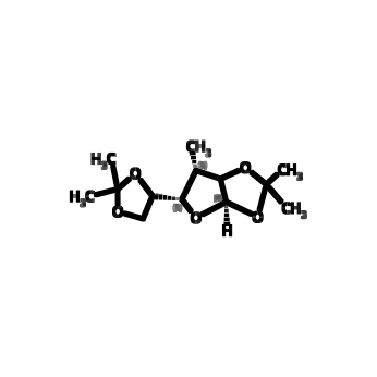 C[C@@H]1C2OC(C)(C)O[C@H]2O[C@@H]1C1COC(C)(C)O1